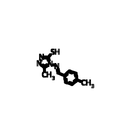 Cc1ccc(C=Nn2c(C)nnc2S)cc1